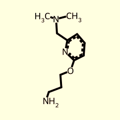 CN(C)Cc1cccc(OCCCN)n1